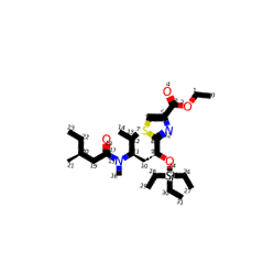 CCOC(=O)c1csc([C@@H](C[C@H](C(C)C)N(C)C(=O)C[C@@H](C)CC)O[Si](CC)(CC)CC)n1